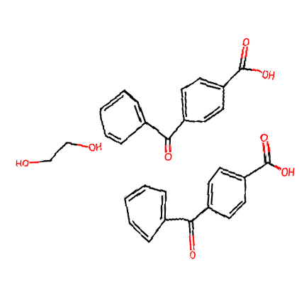 O=C(O)c1ccc(C(=O)c2ccccc2)cc1.O=C(O)c1ccc(C(=O)c2ccccc2)cc1.OCCO